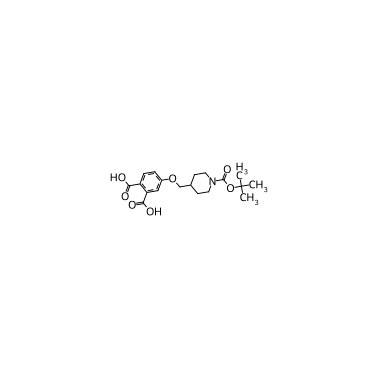 CC(C)(C)OC(=O)N1CCC(COc2ccc(C(=O)O)c(C(=O)O)c2)CC1